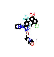 C#Cc1c(Cl)ccc2cc(O)cc(-c3c(C(F)(F)F)cc4c(N5CC6CCC(C5)N6)nc(OCC5(CN6C[C@H]7C[C@@H]6CO7)CC5)nc4c3F)c12